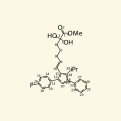 COC(=O)C(O)(O)CCC/C=C/c1c(-c2ccc(F)cc2)cn(-c2ccccc2)c1C(C)C